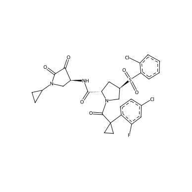 O=C1C(=O)N(C2CC2)C[C@@H]1NC(=O)[C@@H]1C[C@@H](S(=O)(=O)c2ccccc2Cl)CN1C(=O)C1(c2ccc(Cl)cc2F)CC1